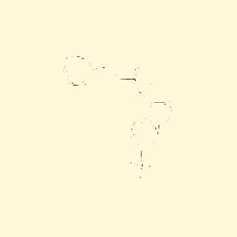 CC(C)(C)c1cnn2c(C(C)(C)C(=O)OCc3ccccc3)ncc2c1